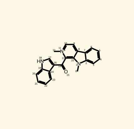 Cn1c2ccccc2c2cc[n+](C)c(C(=O)c3c[nH]c4ccccc34)c21